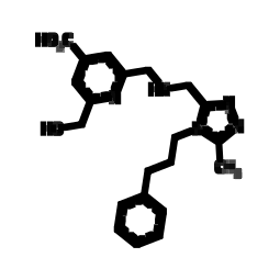 Cc1nnc(CNCc2cc(C(=O)O)cc(CO)n2)n1CCCc1ccccc1